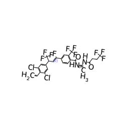 C=Cc1c(Cl)cc(C(/C=C(\F)c2ccc(C(=O)N[C@H](C)NC(=O)CCC(F)(F)F)c(C(F)(F)F)c2)C(F)(F)F)cc1Cl